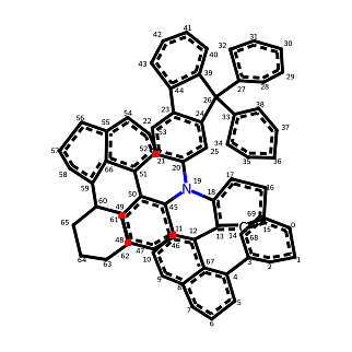 c1ccc(-c2cccc3cccc(-c4ccccc4N(c4ccc5c(c4)C(c4ccccc4)(c4ccccc4)c4ccccc4-5)c4ccccc4-c4cccc5cccc(C6CCCCC6)c45)c23)cc1